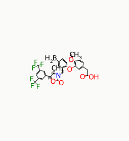 Bc1ccc(Oc2cc(CC(=O)O)ccc2OC)c(CN2C(=O)O[C@@H](c3cc(C(F)(F)F)cc(C(F)(F)F)c3)[C@H]2C)c1